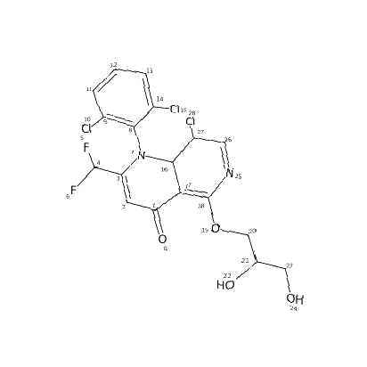 O=C1C=C(C(F)F)N(c2c(Cl)cccc2Cl)C2C1=C(OCC(O)CO)N=CC2Cl